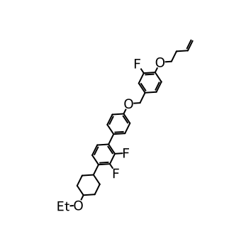 C=CCCOc1ccc(COc2ccc(-c3ccc(C4CCC(OCC)CC4)c(F)c3F)cc2)cc1F